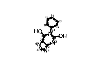 Oc1nc2nnnc-2c(O)n1-c1ccccc1